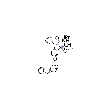 CC(C)NC(=O)C1=C(c2ccccc2)c2ccc(OCC3CN(Cc4ccccc4)CCO3)cc2/C1=[N+](/C)[O-]